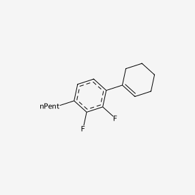 CCCCCc1ccc(C2=CCCCC2)c(F)c1F